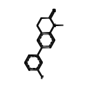 CN1C(=O)CCc2cc(-c3cccc(F)c3)ccc21